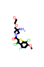 COc1cc(F)c2c(Cl)c(C(=O)N3CC(N)(COCC=O)C3)sc2c1Cl